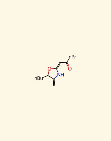 C=C1N/C(=C\C(=O)CCC)OC1CCCC